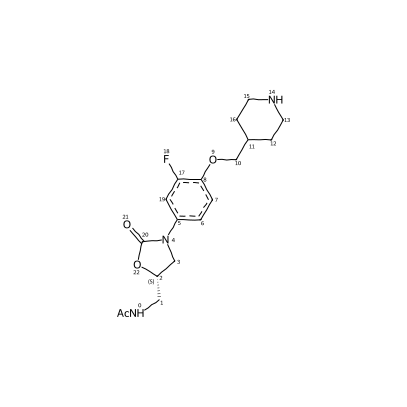 CC(=O)NC[C@H]1CN(c2ccc(OCC3CCNCC3)c(F)c2)C(=O)O1